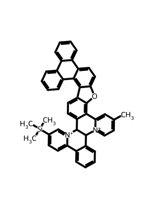 Cc1cc[n+]2c(c1)-c1c(ccc3c1oc1ccc4c5ccccc5c5ccccc5c4c13)C1C2c2ccccc2-c2ccc([Si](C)(C)C)c[n+]21